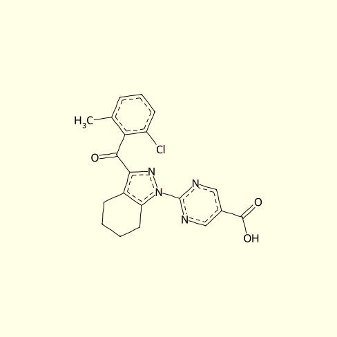 Cc1cccc(Cl)c1C(=O)c1nn(-c2ncc(C(=O)O)cn2)c2c1CCCC2